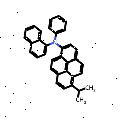 CC(C)c1ccc2ccc3c(N(c4ccccc4)c4cccc5ccccc45)ccc4ccc1c2c43